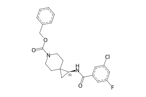 O=C(N[C@H]1CC12CCN(C(=O)OCc1ccccc1)CC2)c1cc(F)cc(Cl)c1